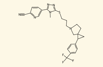 Cn1c(SCCCN2CCC3(CC3c3ccc(C(F)(F)F)cc3)C2)nnc1-c1ccc(C#N)nc1